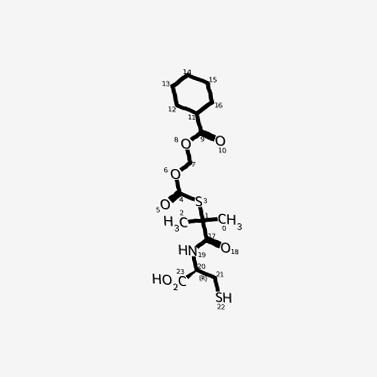 CC(C)(SC(=O)OCOC(=O)C1CCCCC1)C(=O)N[C@@H](CS)C(=O)O